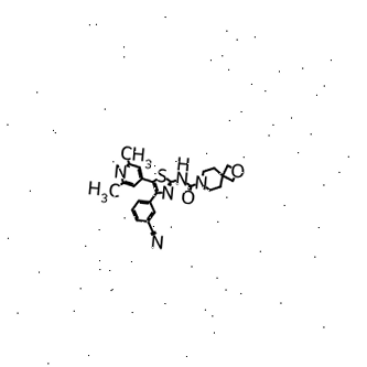 Cc1cc(-c2sc(NC(=O)N3CCC4(CC3)COC4)nc2-c2cccc(C#N)c2)cc(C)n1